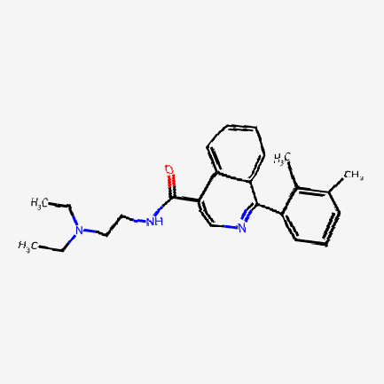 CCN(CC)CCNC(=O)c1cnc(-c2cccc(C)c2C)c2ccccc12